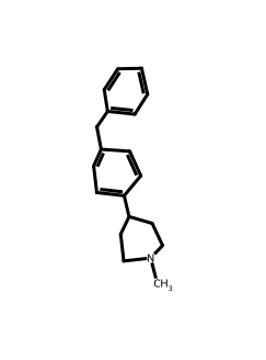 CN1CCC(c2ccc(Cc3ccccc3)cc2)CC1